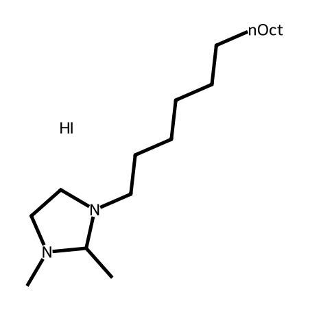 CCCCCCCCCCCCCCN1CCN(C)C1C.I